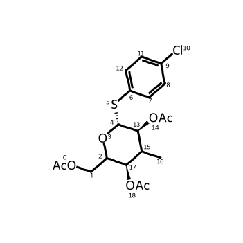 CC(=O)OCC1O[C@H](Sc2ccc(Cl)cc2)[C@@H](OC(C)=O)C(C)[C@H]1OC(C)=O